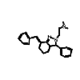 CN(C)CCN1N=C2C(=Cc3ccccc3)CCCC2C1c1ccccc1